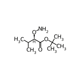 CC(C)[C@@H](ON)C(=O)OC(C)(C)C